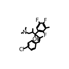 CC(=Cc1ccc(Cl)cc1)C(O)(c1cc(F)c(F)c(C)c1F)C(C)CN(C)C